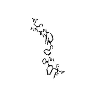 CN(C)CC(=O)Nc1cn2nc(Oc3cccc(NC(=O)c4cccc(C(F)(F)F)c4)c3)ccc2n1